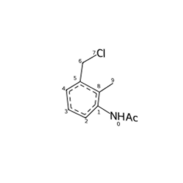 CC(=O)Nc1cccc(CCl)c1C